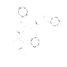 COC(=O)N[C@H](C(=O)NN(Cc1ccccc1)C[C@](O)(Cc1ccccc1)C(=O)N[C@H]1c2ccccc2C[C@H]1O)C(C)C